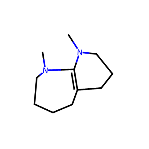 CN1CCCCC2=C1N(C)CCC2